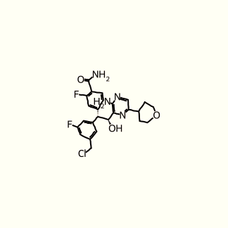 NC(=O)c1ccc([C@@H](c2cc(F)cc(CCl)c2)[C@H](O)c2nc(C3CCOCC3)cnc2N)cc1F